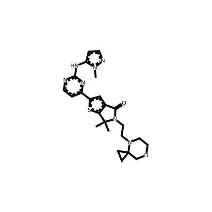 Cn1nccc1Nc1nccc(-c2cc3c(s2)C(C)(C)N(CCN2CCOCC24CC4)C3=O)n1